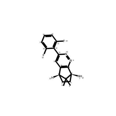 CC1(C)[C@@H]2CC[C@@]1(N)c1nnc(-c3c(F)cccc3F)cc12